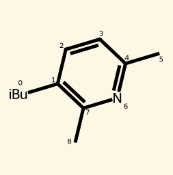 CCC(C)c1ccc(C)nc1C